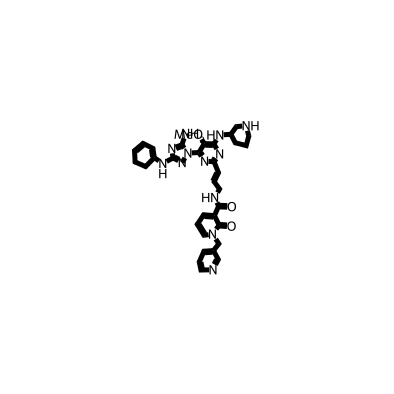 COc1c(NC2CCCNC2)nc(/C=C/CNC(=O)c2cccn(Cc3cccnc3)c2=O)nc1-n1nc(NC2=CC=CCC2)nc1N